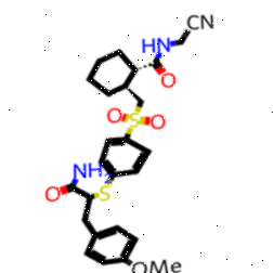 COc1ccc(CC(Sc2ccc(S(=O)(=O)C[C@H]3CCCC[C@@H]3C(=O)NCC#N)cc2)C(N)=O)cc1